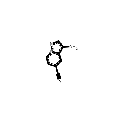 N#Cc1ccn2ncc(N)c2c1